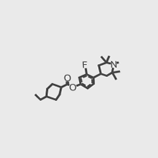 CCC1CCC(C(=O)Oc2ccc(C3CC(C)(C)N(C)C(C)(C)C3)c(F)c2)CC1